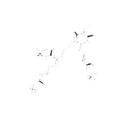 CC(C(=O)O)C(=O)N(CCCCN(CCCNC(=O)OC(C)(C)C)C(=O)OC(C)(C)C)CCCNC(=O)OC(C)(C)C